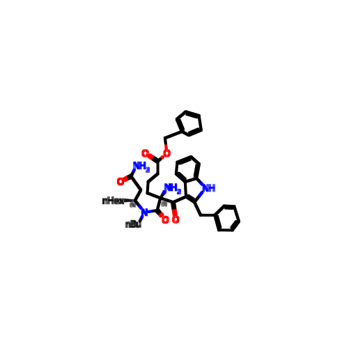 CCCCCC[C@@H](CC(N)=O)N(CCCC)C(=O)[C@](N)(CCCC(=O)OCc1ccccc1)C(=O)c1c(Cc2ccccc2)[nH]c2ccccc12